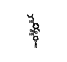 CCC(C)CNc1ccc(I)c(S(=O)(=O)N[C@@H]2CCN(C#N)C2)c1